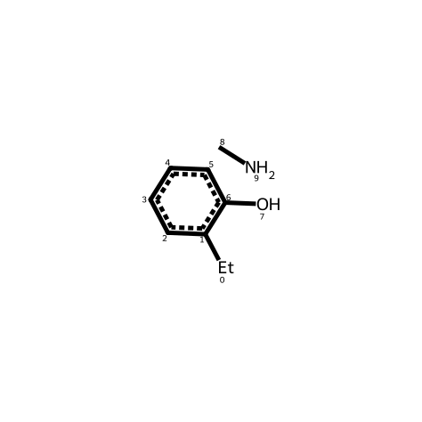 CCc1ccccc1O.CN